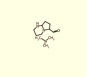 CN(C)C.O=CC1CCC2NCCCN12